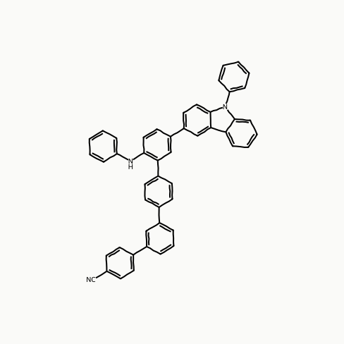 N#Cc1ccc(-c2cccc(-c3ccc(-c4cc(-c5ccc6c(c5)c5ccccc5n6-c5ccccc5)ccc4Nc4ccccc4)cc3)c2)cc1